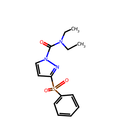 CCN(CC)C(=O)n1ccc(S(=O)(=O)c2ccccc2)n1